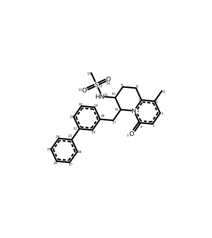 Cc1ccc(=O)n2c1CCC(NS(C)(=O)=O)C2Cc1cccc(-c2ccccc2)c1